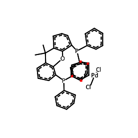 CC1(C)c2cccc(P(c3ccccc3)c3ccccc3)c2Oc2c(P(c3ccccc3)c3ccccc3)cccc21.[Cl][Pd][Cl]